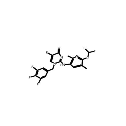 Cc1cc(Nc2nc(=O)c(F)cn2Cc2cc(F)c(F)c(F)c2)c(C)nc1OC(F)F